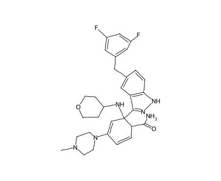 CN1CCN(C2=CC(NC3CCOCC3)(c3n[nH]c4ccc(Cc5cc(F)cc(F)c5)cc34)C(C(N)=O)C=C2)CC1